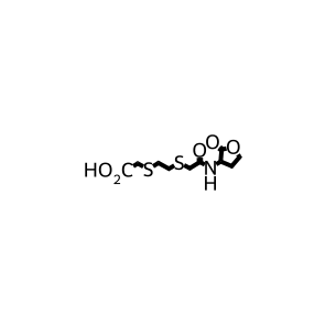 O=C(O)CSCCSCC(=O)NC1CCOC1=O